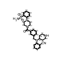 N#Cc1ccccc1N(Cc1cccc(C(=O)N2CCN(c3ccccc3S(N)(=O)=O)CC2)c1)C1CCNCC1